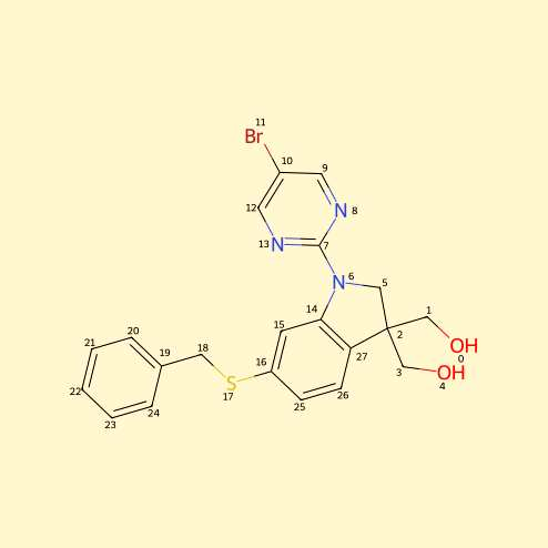 OCC1(CO)CN(c2ncc(Br)cn2)c2cc(SCc3ccccc3)ccc21